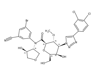 CO[C@@H]1[C@@H](n2cc(-c3ccc(Cl)c(Cl)c3)nn2)[C@@H](O)[C@@H](CO)O[C@H]1C(=O)N(c1cc(Br)cc(C#N)c1)[C@@H]1COC[C@H]1O